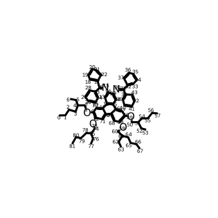 CCCCC(CC)COc1cc2c3cc(N=C(c4ccccc4)c4ccccc4)c(N=C(c4ccccc4)c4ccccc4)cc3c3cc(OCC(CC)CCCC)c(OCC(CC)CCCC)cc3c2cc1OCC(CC)CCCC